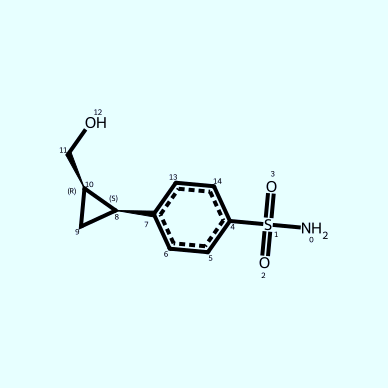 NS(=O)(=O)c1ccc([C@H]2C[C@H]2CO)cc1